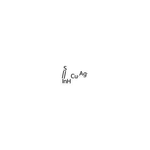 [Ag].[Cu].[S]=[InH]